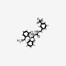 NCc1cccc(Cl)c1N1c2ccccc2SC1NC(=O)NCc1cccc(C(F)(F)F)c1